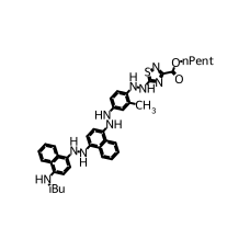 CCCCCOC(=O)c1nsc(NNc2ccc(NNc3ccc(NNc4ccc(NC(C)CC)c5ccccc45)c4ccccc34)cc2C)n1